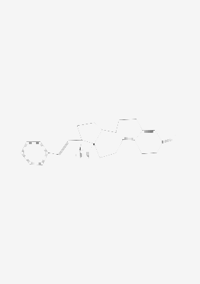 CCC12CCC3=C4CCC(=O)C=C4CCC3C1CC[C@@]2(O)/C=C/c1ccccc1